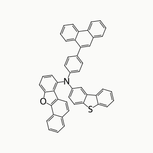 c1ccc2c(c1)cc(-c1ccc(N(c3ccc4sc5ccccc5c4c3)c3cccc4oc5c6ccccc6ccc5c34)cc1)c1ccccc12